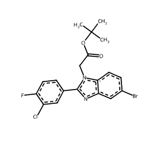 CC(C)(C)OC(=O)Cn1c(-c2ccc(F)c(Cl)c2)nc2cc(Br)ccc21